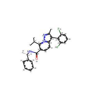 Cc1nn2c(C(C)C)c(C(=O)N[C@@H](C)c3ccccc3)ccc2c1-c1c(F)cccc1F